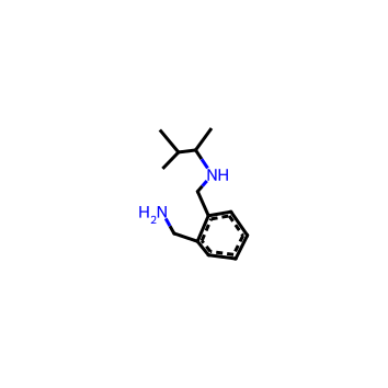 CC(C)C(C)NCc1ccccc1CN